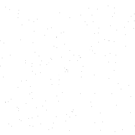 CC(O)C(=O)N1CCN(C(C)(C)C)CC1